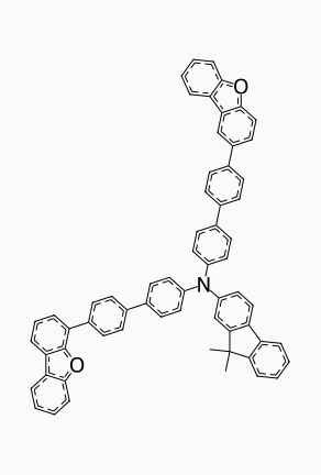 CC1(C)c2ccccc2-c2ccc(N(c3ccc(-c4ccc(-c5ccc6oc7ccccc7c6c5)cc4)cc3)c3ccc(-c4ccc(-c5cccc6c5oc5ccccc56)cc4)cc3)cc21